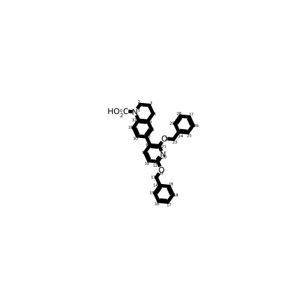 O=C(O)N1CCCc2cc(-c3ccc(OCc4ccccc4)nc3OCc3ccccc3)ccc21